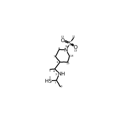 CC(S)NC(C)C1CCN(S(C)(=O)=O)CC1